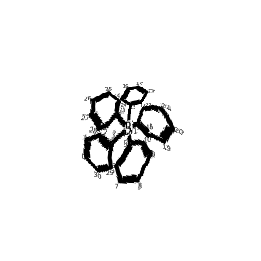 c1cc[c]([Bi]([c]2ccccc2)([c]2ccccc2)([c]2ccccc2)[c]2ccccc2)cc1